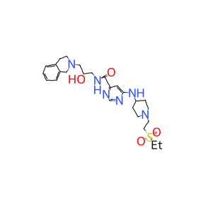 CCS(=O)(=O)CCN1CCC(Nc2cc(C(=O)NCC(O)CN3CCc4ccccc4C3)ncn2)CC1